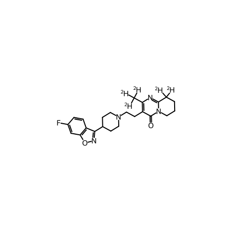 [2H]C([2H])([2H])c1nc2n(c(=O)c1CCN1CCC(c3noc4cc(F)ccc34)CC1)CCCC2([2H])[2H]